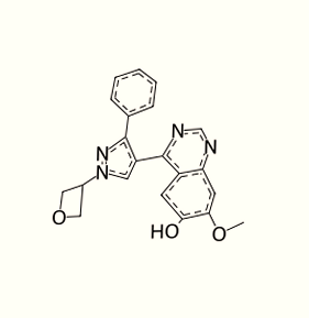 COc1cc2ncnc(-c3cn(C4COC4)nc3-c3ccccc3)c2cc1O